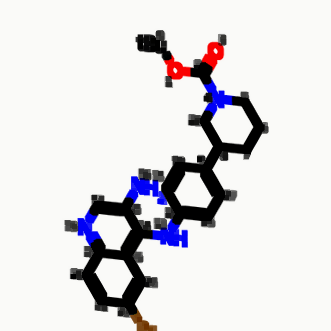 CC(C)(C)OC(=O)N1CCCC(c2ccc(Nc3c(N)cnc4ccc(Br)cc34)cc2)C1